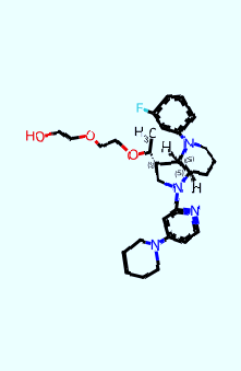 CC(OCCOCCO)[C@H]1CN(c2cc(N3CCCCC3)ccn2)[C@H]2CCCN(c3cccc(F)c3)[C@@H]12